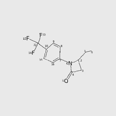 CCC1CC(=O)N1c1ccc(C(F)(F)F)cc1